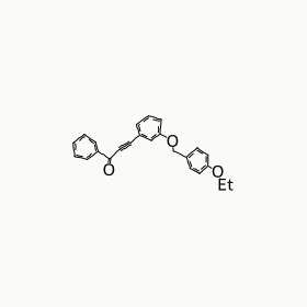 CCOc1ccc(COc2cccc(C#CC(=O)c3ccccc3)c2)cc1